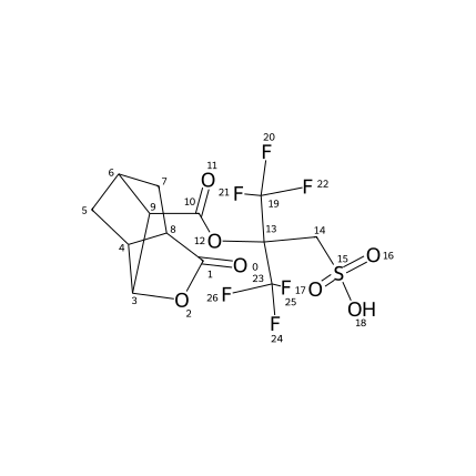 O=C1OC2C3CC(CC13)C2C(=O)OC(CS(=O)(=O)O)(C(F)(F)F)C(F)(F)F